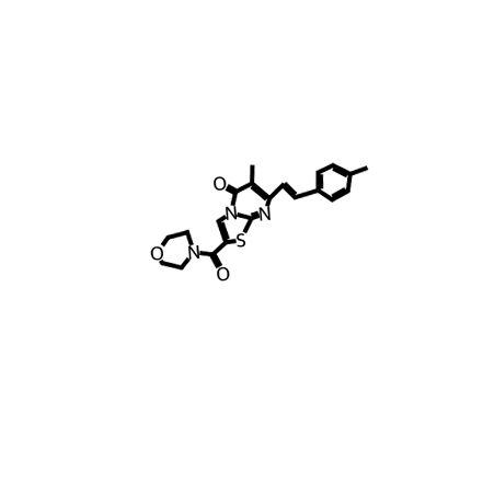 Cc1ccc(/C=C/c2nc3sc(C(=O)N4CCOCC4)cn3c(=O)c2C)cc1